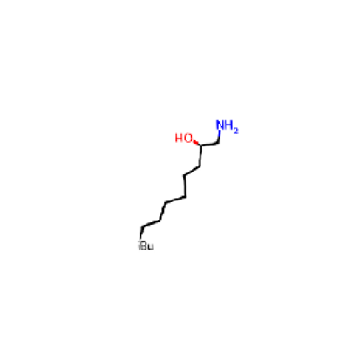 CC[C@H](C)CCCCCC[C@@H](O)CN